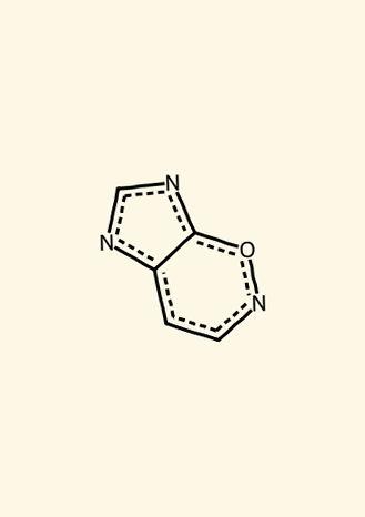 c1cc2ncnc-2on1